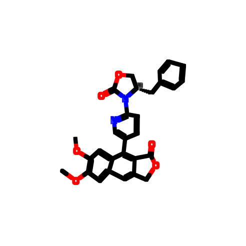 COc1cc2cc3c(c(-c4ccc(N5C(=O)OC[C@@H]5Cc5ccccc5)nc4)c2cc1OC)C(=O)OC3